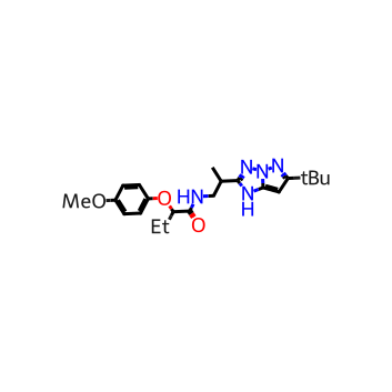 CCC(Oc1ccc(OC)cc1)C(=O)NCC(C)c1nn2nc(C(C)(C)C)cc2[nH]1